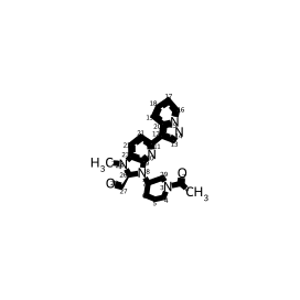 CC(=O)N1CCCC(N2c3nc(-c4cnn5ccccc45)ccc3N(C)[C@@H]2C=O)C1